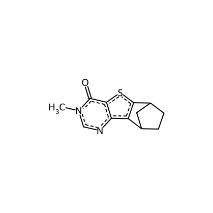 Cn1cnc2c3c(sc2c1=O)C1CCC3C1